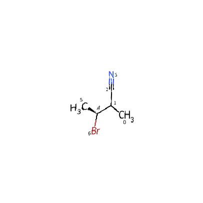 CC(C#N)[C@H](C)Br